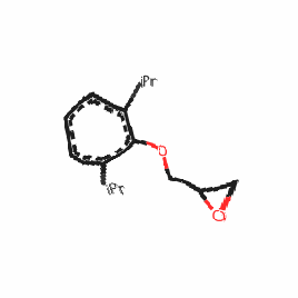 CC(C)c1cccc(C(C)C)c1OCC1CO1